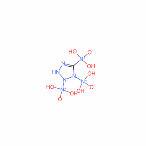 [O-][N+](O)(O)C1=NNN([N+]([O-])(O)O)N1[N+]([O-])(O)O